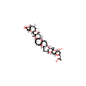 C=C(C[C@@H]1C[C@H](O)[C@@H]2O[C@@H]3C[C@]4(C)O[C@@H]5/C=C\C[C@@H]6O[C@H]7[C@H](C/C=C\C[C@H]6O[C@H]5CCC[C@H]4O[C@H]3C[C@H]2O1)O[C@@H]1C[C@@H]2O[C@@H]3CC(=O)O[C@H]3C[C@@H](C)C[C@@]2(C)O[C@H]1C[C@@H]7C)OO